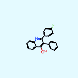 Oc1c(-c2ccccc2)c(-c2ccc(F)cc2)nc2ccccc12